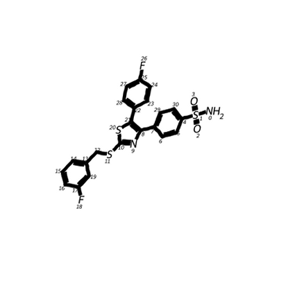 NS(=O)(=O)c1ccc(-c2nc(SCc3cccc(F)c3)sc2-c2ccc(F)cc2)cc1